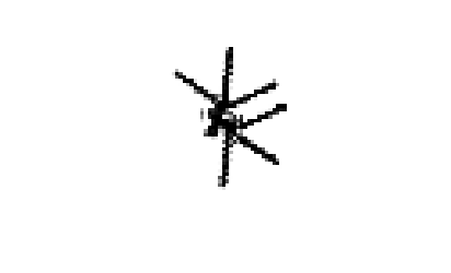 CCCCCCCCCCCCCCCSc1cc(Nc2nc(Nc3cc(SCCCCCCCCCCCCCCC)c(SCCCCCCCCCCCCCCC)c(SCCCCCCCCCCCCCCC)c3)nc(-c3cc[c]cc3)n2)cc(SCCCCCCCCCCCCCCC)c1SCCCCCCCCCCCCCCC